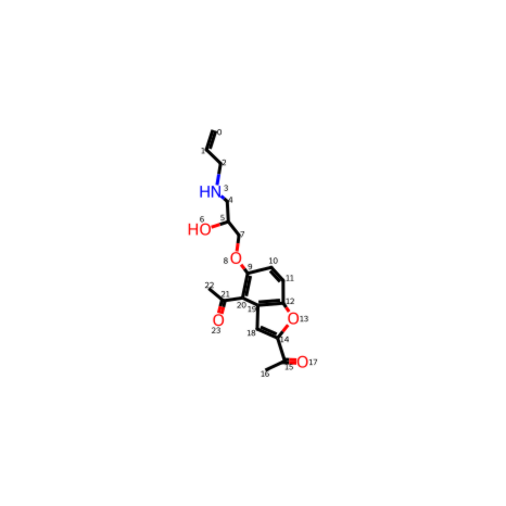 C=CCNCC(O)COc1ccc2oc(C(C)=O)cc2c1C(C)=O